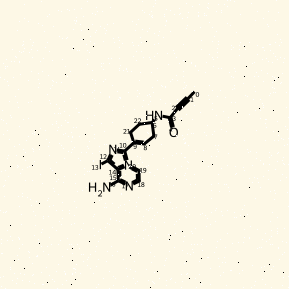 CC#CC(=O)NC1CC=C(c2nc(I)c3c(N)nccn23)CC1